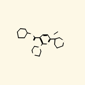 O=C(O)C[C@@]1(c2ccc(C(=O)NC3CCCCC3)c(N3CCOCC3)n2)CCCNC1